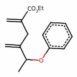 C=C(CC(=C)C(C)Oc1ccccc1)C(=O)OCC